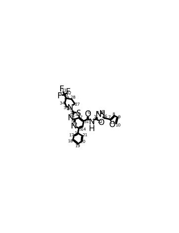 O=C(Nc1nnc(-c2ccco2)o1)c1cc(-c2ccccc2)nc2nc(N3CCC(C(F)(F)F)CC3)sc12